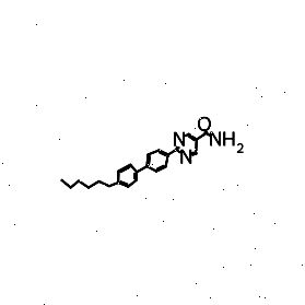 CCCCCCc1ccc(-c2ccc(-c3ncc(C(N)=O)cn3)cc2)cc1